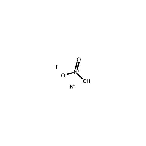 O=[N+]([O-])O.[I-].[K+]